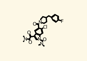 CN(C)C(=O)C(=O)c1cn(C(=O)N(C)C)c2cc(Cl)c(C(=O)N3CCC(Cc4ccc(F)cc4)CC3)cc12